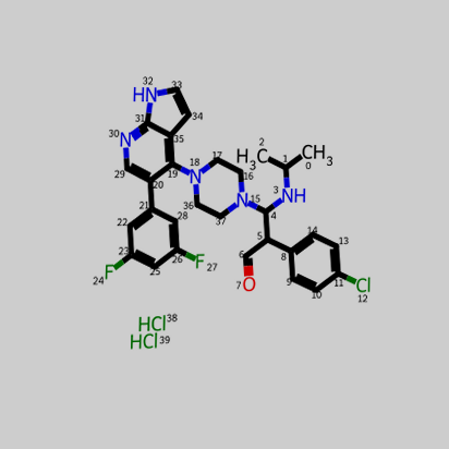 CC(C)NC(C(C=O)c1ccc(Cl)cc1)N1CCN(c2c(-c3cc(F)cc(F)c3)cnc3[nH]ccc23)CC1.Cl.Cl